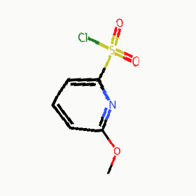 COc1cccc(S(=O)(=O)Cl)n1